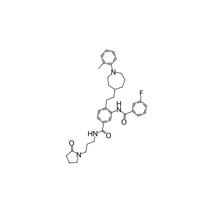 Cc1ccccc1N1CCCC(CCc2ccc(C(=O)NCCCN3CCCC3=O)cc2NC(=O)c2cccc(F)c2)CC1